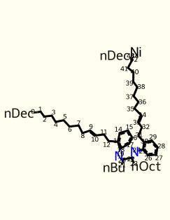 CCCCCCCCCCCCCCCCCCC=CCCc1ccccc1N=C(CCCC)C(CCCCCCCC)=Nc1ccccc1CCC=CCCCCCCCCCCCCCCCCCC.[Ni]